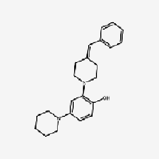 Oc1ccc(N2CCCCC2)cc1N1CCC(=Cc2ccccc2)CC1